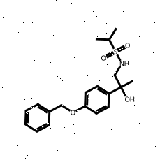 CC(C)S(=O)(=O)NCC(C)(O)c1ccc(OCc2ccccc2)cc1